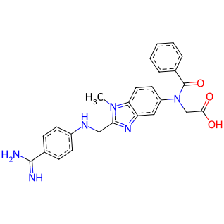 Cn1c(CNc2ccc(C(=N)N)cc2)nc2cc(N(CC(=O)O)C(=O)c3ccccc3)ccc21